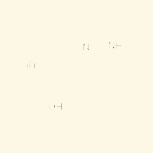 CC(C)C(O)c1cc[nH]n1